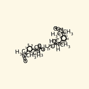 CC(C)(N=C=O)c1cccc(C(C)(C)NC(=O)OCCCOC(=O)NC(C)(C)c2cccc(C(C)(C)N=C=O)c2)c1